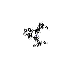 CCCc1cc(N2CC[N+](CCCCn3ccc(C4CCCCC4)nc3=O)(OC(=O)/C=C/C(=O)O[N+]3(CCCCn4ccc(C5CCCCC5)nc4=O)CCN(c4cc(CCC)nc(C(C)(C)C)n4)CC3)CC2)nc(C(C)(C)C)n1